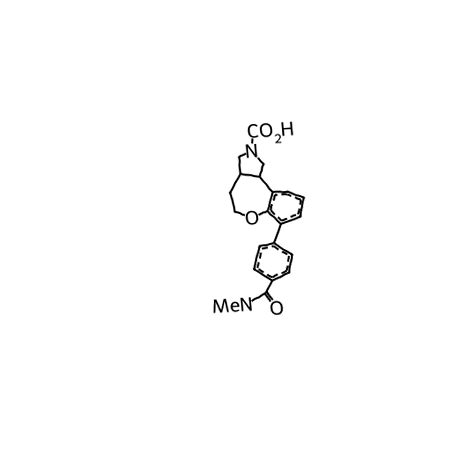 CNC(=O)c1ccc(-c2cccc3c2OCCC2CN(C(=O)O)CC32)cc1